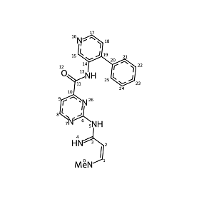 CN/C=C\C(=N)Nc1nccc(C(=O)Nc2cnccc2-c2ccccc2)n1